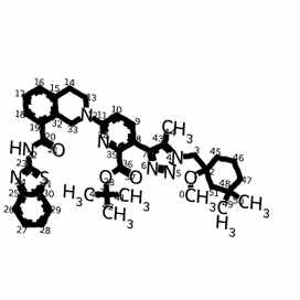 COC1(Cn2nnc(-c3ccc(N4CCc5cccc(C(=O)Nc6nc7ccccc7s6)c5C4)nc3C(=O)OC(C)(C)C)c2C)CCCC(C)(C)C1